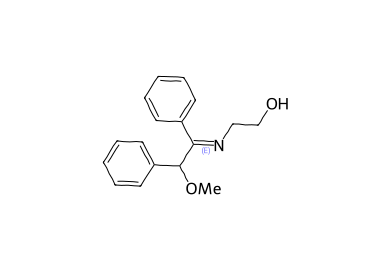 COC(/C(=N/CCO)c1ccccc1)c1ccccc1